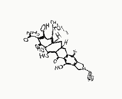 CN(C)[C@@H]1C(O)=C(C(N)=O)C(=O)[C@@]2(O)C(O)=C3C(=O)c4c(O)c5c(c(F)c4C[C@H]3C[C@@H]12)CN(C(C)(C)C)C5